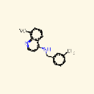 N#Cc1cccc2c(NCc3cccc(C(F)(F)F)c3)ccnc12